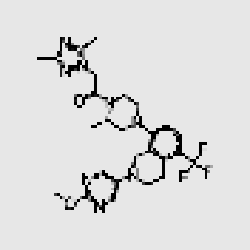 COc1ncc(N2CCc3c(C(F)(F)F)ccc(N4CCN(C(=O)Cn5nc(C)nc5C)[C@H](C)C4)c3C2)cn1